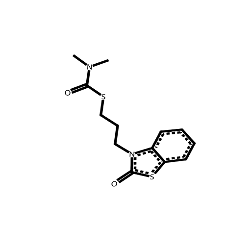 CN(C)C(=O)SCCCn1c(=O)sc2ccccc21